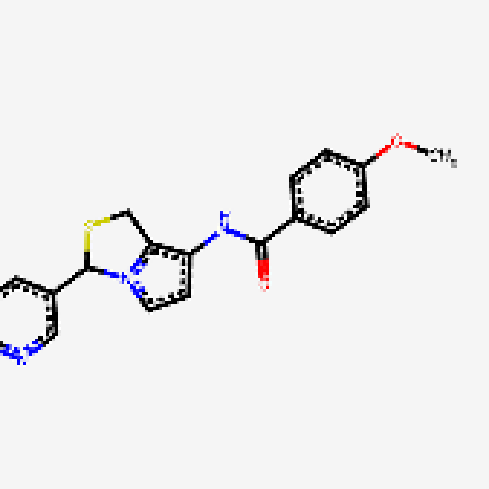 COc1ccc(C(=O)Nc2ccn3c2CSC3c2cccnc2)cc1